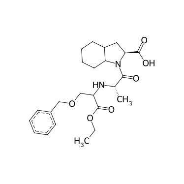 CCOC(=O)C(COCc1ccccc1)N[C@@H](C)C(=O)N1C2CCCCC2C[C@H]1C(=O)O